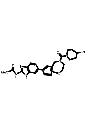 COC(=O)Nc1nc2ccc(-c3ccc4c(c3)CN(C(=O)N3CCC(C#N)CC3)CCO4)cc2[nH]1